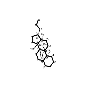 CCC[C@H]1CC[C@H]2[C@@H]3CCC4CCCC[C@]4(C)[C@H]3CC[C@]12C